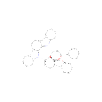 c1ccc(-c2cccc(-n3c4ccccc4c4ccc5c6ccccc6n(-c6ccc7c(c6)oc6ccccc67)c5c43)c2)cc1